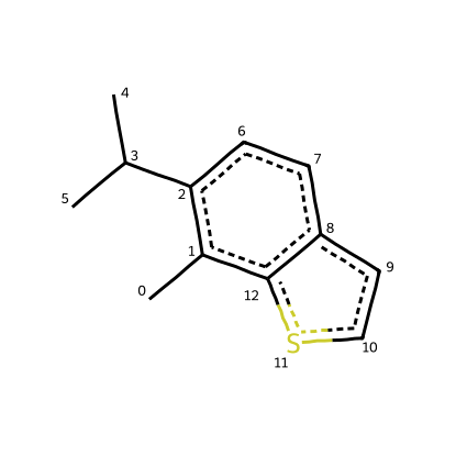 Cc1c(C(C)C)ccc2ccsc12